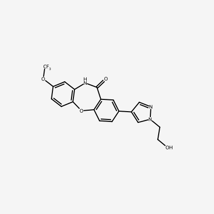 O=C1Nc2cc(OC(F)(F)F)ccc2Oc2ccc(-c3cnn(CCO)c3)cc21